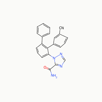 N#Cc1cccc(-c2c(-c3ccccc3)cccc2-n2ncnc2C(N)=O)c1